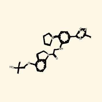 Cc1nsc(-c2ccc(N3CCCC3)c(NCC(=O)N3CCc4c(OCC(C)(C)O)cccc43)c2)n1